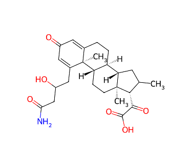 CC1C[C@H]2[C@@H]3CCC4=CC(=O)C=C(CC(O)CC(N)=O)[C@]4(C)[C@H]3CC[C@]2(C)[C@H]1C(=O)C(=O)O